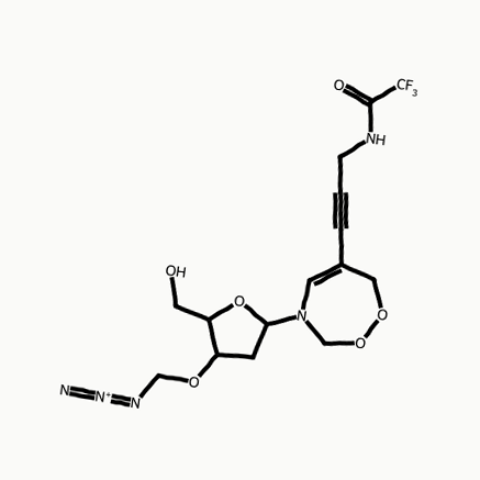 [N-]=[N+]=NCOC1CC(N2C=C(C#CCNC(=O)C(F)(F)F)COOC2)OC1CO